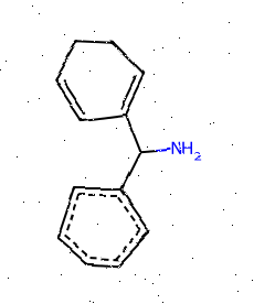 NC(C1=CCCC=C1)c1ccccc1